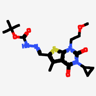 COCCn1c(=O)n(C2CC2)c(=O)c2c(C)c(/C=N/NC(=O)OC(C)(C)C)sc21